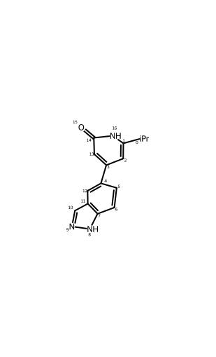 CC(C)c1cc(-c2ccc3[nH]ncc3c2)cc(=O)[nH]1